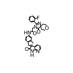 O=C(CN1C(=O)C2(CCOCC2)N=C1c1ccccc1F)Nc1ccc2c(c1)C[C@@]1(C2)C(=O)Nc2ncccc21